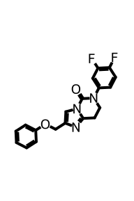 O=C1N(c2ccc(F)c(F)c2)CCc2nc(COc3ccccc3)cn21